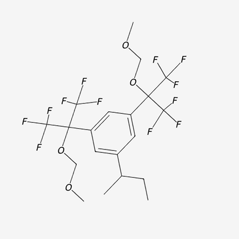 CCC(C)c1cc(C(OCOC)(C(F)(F)F)C(F)(F)F)cc(C(OCOC)(C(F)(F)F)C(F)(F)F)c1